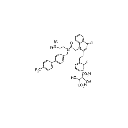 CCN(CC)CCN(Cc1ccc(-c2ccc(C(F)(F)F)cc2)cc1)C(=O)Cn1c(CCc2ccccc2F)cc(=O)c2ccccc21.O=C(O)C(O)C(O)C(=O)O